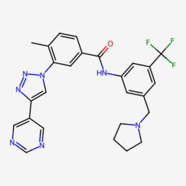 Cc1ccc(C(=O)Nc2cc(CN3CCCC3)cc(C(F)(F)F)c2)cc1-n1cc(-c2cncnc2)nn1